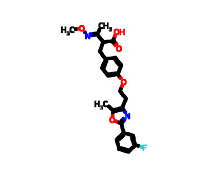 CON=C(C)C(Cc1ccc(OCCc2nc(-c3cccc(F)c3)oc2C)cc1)C(=O)O